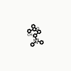 Cc1cccc(-c2cc3c(oc4cccc(-c5cccc(-c6nc(-c7ccccc7)nc(-c7ccccc7)n6)c5)c43)c3ccccc23)c1